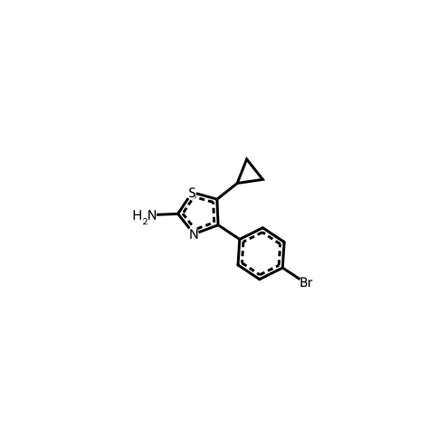 Nc1nc(-c2ccc(Br)cc2)c(C2CC2)s1